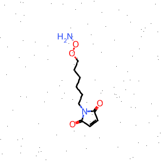 NOOCCCCCCN1C(=O)C=CC1=O